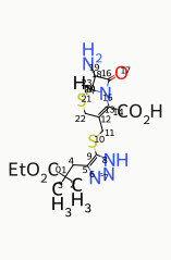 CCOC(=O)C(C)(C)Cc1nn[nH]c1SCC1=C(C(=O)O)N2C(=O)C(N)[C@H]2SC1